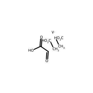 CC(=O)O.CC(=O)O.O=CC(=O)O.[V]